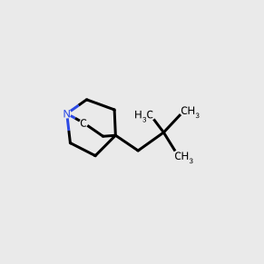 CC(C)(C)CC12CCN(CC1)CC2